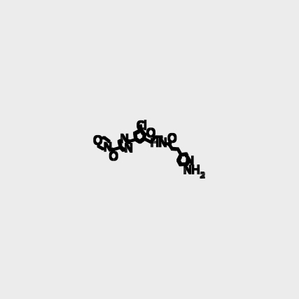 Nc1ccc(/C=C/C(=O)NCC2Cc3cc(-c4ncc(C(=O)N5CCOCC5)cn4)cc(Cl)c3O2)cn1